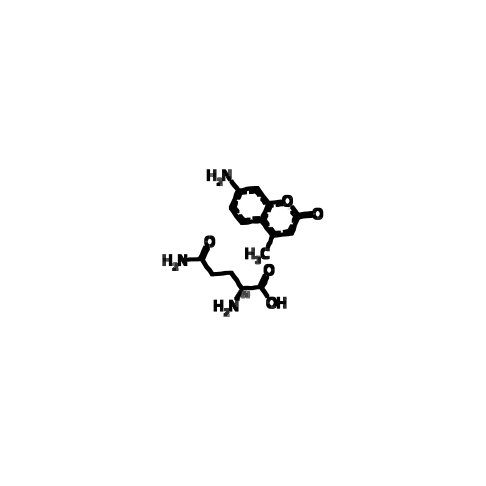 Cc1cc(=O)oc2cc(N)ccc12.NC(=O)CC[C@H](N)C(=O)O